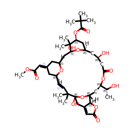 COC(=O)/C=C1/C[C@H]2C[C@]3(O)O[C@H](C[C@@H](O)CC(=O)O[C@@H]([C@@H](C)O)C[C@H]4O[C@](O)(CC5=CC(=O)O[C@@H]54)C(C)(C)/C=C/[C@@H](C1)O2)C[C@H](OC(=O)C(C)(C)C)C3(C)C